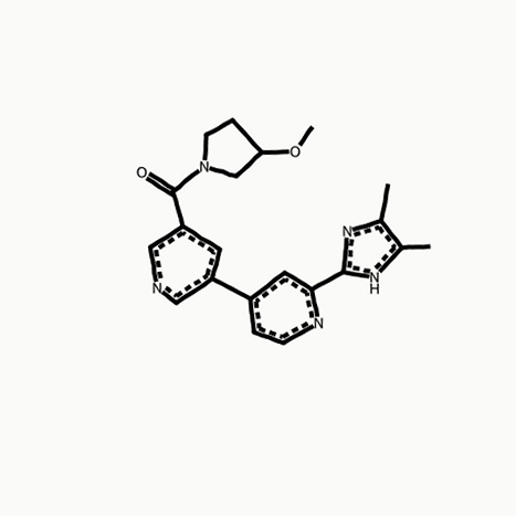 COC1CCN(C(=O)c2cncc(-c3ccnc(-c4nc(C)c(C)[nH]4)c3)c2)C1